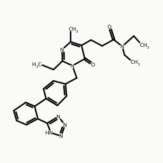 CCc1nc(C)c(CCC(=O)N(CC)CC)c(=O)n1Cc1ccc(-c2ccccc2-c2nnn[nH]2)cc1